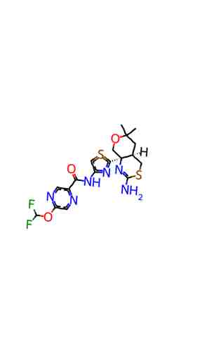 CC1(C)C[C@H]2CSC(N)=N[C@@]2(c2nc(NC(=O)c3cnc(OC(F)F)cn3)cs2)CO1